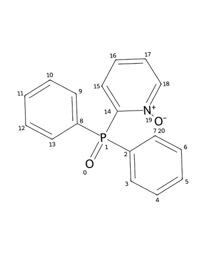 O=P(c1ccccc1)(c1ccccc1)c1cccc[n+]1[O-]